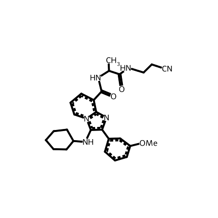 COc1cccc(-c2nc3c(C(=O)NC(C)C(=O)NCCC#N)cccn3c2NC2CCCCC2)c1